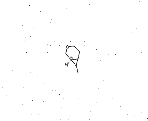 CC1C2CCOC[C@H]12